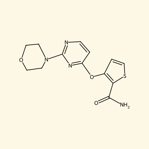 NC(=O)c1sccc1Oc1ccnc(N2CCOCC2)n1